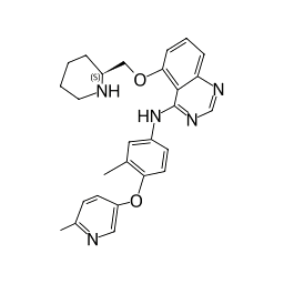 Cc1ccc(Oc2ccc(Nc3ncnc4cccc(OC[C@@H]5CCCCN5)c34)cc2C)cn1